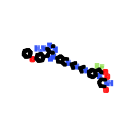 Nc1ncnc2c1c(-c1ccc(Oc3ccccc3)cc1)nn2C1CC2CN(C3CN(C4CN(c5ccc6c(c5)C(F)(F)C(=O)N6C5CCC(=O)NC5=O)C4)C3)CC2C1